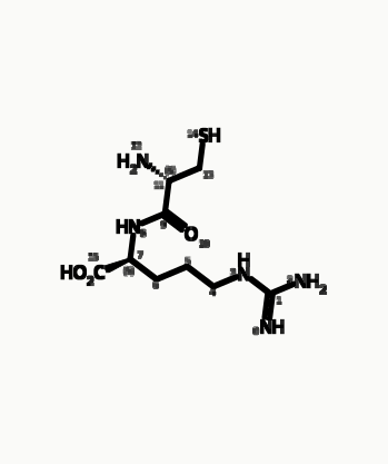 N=C(N)NCCC[C@H](NC(=O)[C@H](N)CS)C(=O)O